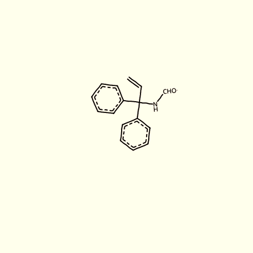 C=CC(N[C]=O)(c1ccccc1)c1ccccc1